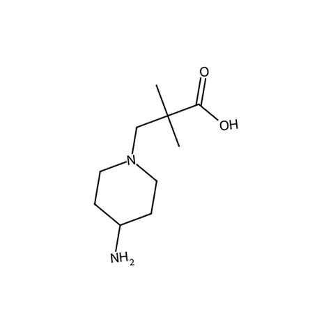 CC(C)(CN1CCC(N)CC1)C(=O)O